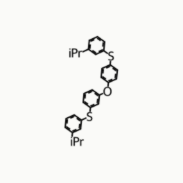 CC(C)c1cccc(Sc2ccc(Oc3cccc(Sc4cccc(C(C)C)c4)c3)cc2)c1